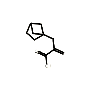 C=C(CC12CCC(C1)C2)C(=O)O